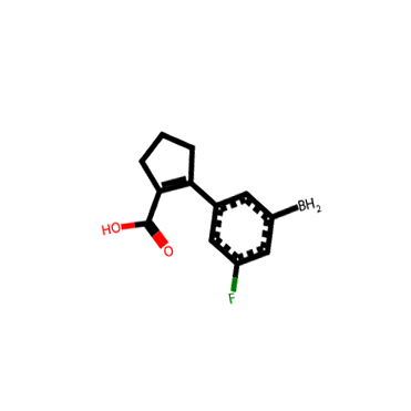 Bc1cc(F)cc(C2=C(C(=O)O)CCC2)c1